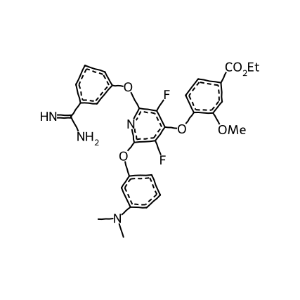 CCOC(=O)c1ccc(Oc2c(F)c(Oc3cccc(C(=N)N)c3)nc(Oc3cccc(N(C)C)c3)c2F)c(OC)c1